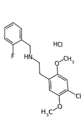 COc1cc(CCNCc2ccccc2F)c(OC)cc1Cl.Cl